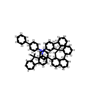 CC1(C)c2ccccc2-c2cccc(N(c3ccc(-c4ccccc4)cc3)c3ccc4c(c3)C3(Cc5c(-c6ccccc6)ccc6cccc(c56)-c5ccccc53)c3ccccc3-4)c21